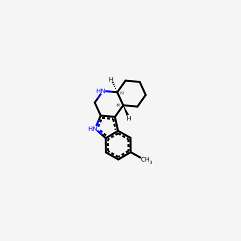 Cc1ccc2[nH]c3c(c2c1)[C@H]1CCCC[C@@H]1NC3